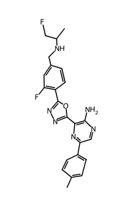 Cc1ccc(-c2cnc(N)c(-c3nnc(-c4ccc(CNC(C)CF)cc4F)o3)n2)cc1